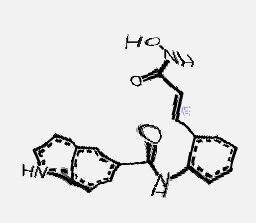 O=C(/C=C/c1ccccc1NC(=O)c1ccc2[nH]ccc2c1)NO